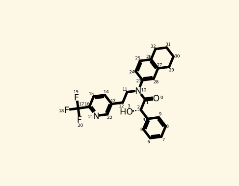 O=C([C@@H](O)c1ccccc1)N(CCc1ccc(C(F)(F)F)nc1)c1ccc2c(c1)CCCC2